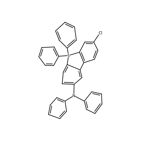 Clc1ccc2c(c1)S(c1ccccc1)(c1ccccc1)c1ccc(N(c3ccccc3)c3ccccc3)cc1-2